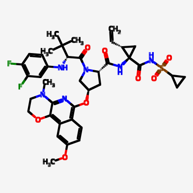 C=C[C@@H]1C[C@]1(NC(=O)[C@@H]1C[C@@H](Oc2nc3c(c4cc(OC)ccc24)OCCN3C)CN1C(=O)[C@H](Nc1ccc(F)c(F)c1)C(C)(C)C)C(=O)NS(=O)(=O)C1CC1